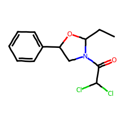 CCC1OC(c2ccccc2)CN1C(=O)C(Cl)Cl